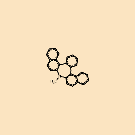 CN1c2ccc3ccccc3c2-c2ccccc2-c2c1ccc1ccccc21